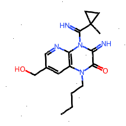 CCCCn1c(=O)c(=N)n(C(=N)C2(C)CC2)c2ncc(CO)cc21